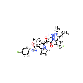 C/C=C(\N(C)NC)C1(NC(=O)C(=O)c2c(C)c(C(=O)Nc3ccc(F)cc3)c3n2CCC3)CC(F)(F)C1